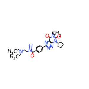 CCN(CC)CCNC(=O)c1ccc(-c2nnc3c(n2)c(=O)n(C)c(=O)n3C2CCCC2)cc1